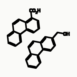 O=C(O)c1cccc2c1ccc1ccccc12.OCc1ccc2c(ccc3ccccc32)c1